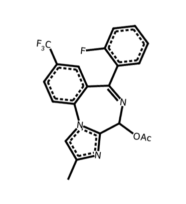 CC(=O)OC1N=C(c2ccccc2F)c2cc(C(F)(F)F)ccc2-n2cc(C)nc21